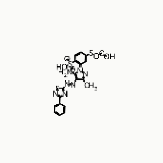 Cc1nn(-c2cc(SOOO)ccc2S(=O)(=O)O)c(N)c1N=Nc1nc(-c2ccccc2)ns1